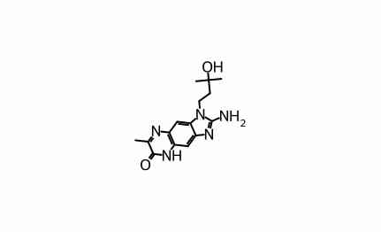 Cc1nc2cc3c(cc2[nH]c1=O)nc(N)n3CCC(C)(C)O